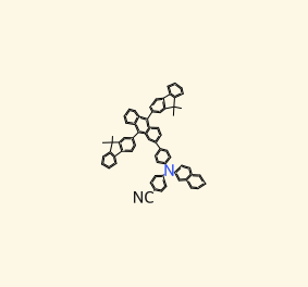 CC1(C)c2ccccc2-c2ccc(-c3c4ccccc4c(-c4ccc5c(c4)C(C)(C)c4ccccc4-5)c4cc(-c5ccc(N(c6ccc(C#N)cc6)c6ccc7ccccc7c6)cc5)ccc34)cc21